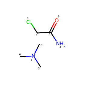 CN(C)C.NC(=O)CCl